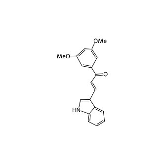 COc1cc(OC)cc(C(=O)C=Cc2c[nH]c3ccccc23)c1